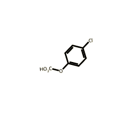 O=C(O)Oc1ccc(Cl)cc1